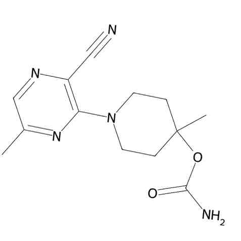 Cc1cnc(C#N)c(N2CCC(C)(OC(N)=O)CC2)n1